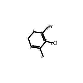 CC1=CCCC(C(C)C)=C1Cl